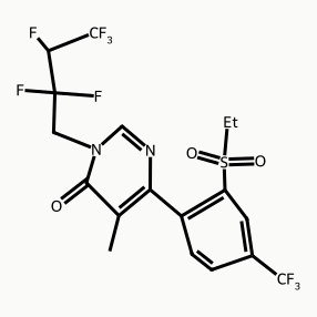 CCS(=O)(=O)c1cc(C(F)(F)F)ccc1-c1ncn(CC(F)(F)C(F)C(F)(F)F)c(=O)c1C